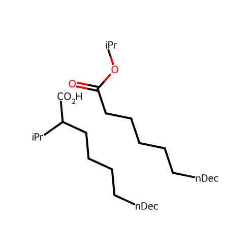 CCCCCCCCCCCCCCC(C(=O)O)C(C)C.CCCCCCCCCCCCCCCC(=O)OC(C)C